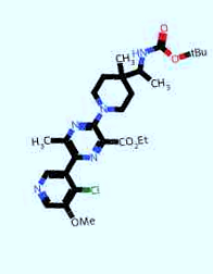 CCOC(=O)c1nc(-c2cncc(OC)c2Cl)c(C)nc1N1CCC(C)(C(C)NC(=O)OC(C)(C)C)CC1